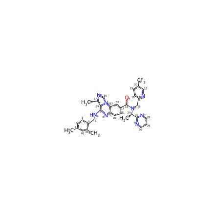 Cc1ccc(CNc2nc3ccc(C(=O)N(Cc4ccc(C(F)(F)F)cn4)[C@H](C)c4ncccn4)cc3n3cnc(C)c23)c(C)c1